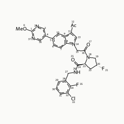 COc1ncc(-c2ccc3c(c2)c(C(C)=O)cn3CC(=O)N2C[C@H](F)C[C@H]2C(=O)NCc2cccc(Cl)c2F)cn1